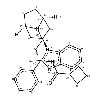 Cc1nc2ccccc2n1[C@H]1C[C@H]2CC[C@@H](C1)N2CC[C@H](NC(=O)C1CCC1)c1ccccc1